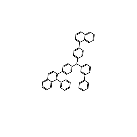 c1ccc(-c2cccc(N(c3ccc(-c4ccc5ccccc5c4-c4ccccc4)cc3)c3ccc(-c4cccc5ccccc45)cc3)c2)cc1